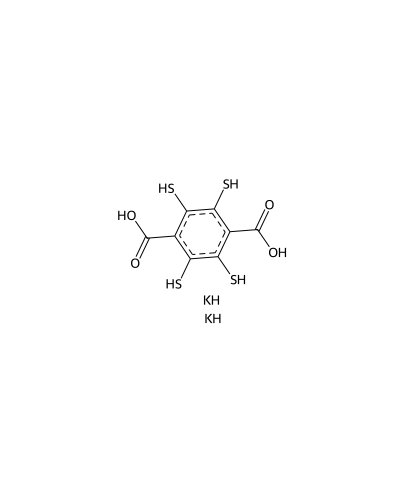 O=C(O)c1c(S)c(S)c(C(=O)O)c(S)c1S.[KH].[KH]